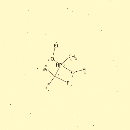 CCO[PH](C)(OCC)C(F)(F)C(C)C